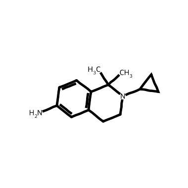 CC1(C)c2ccc(N)cc2CCN1C1CC1